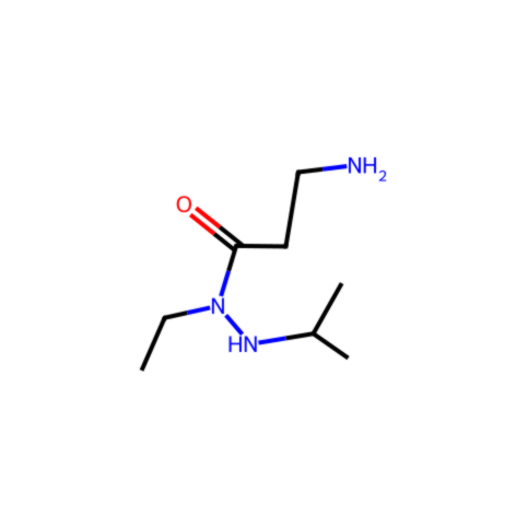 CCN(NC(C)C)C(=O)CCN